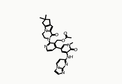 CC(=O)OCc1c(-c2cc(Nc3ccn4ccnc4n3)c(=O)n(C)c2)ccnc1N1CCn2c(cc3c2CC(C)(C)C3)C1=O